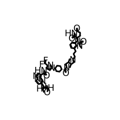 Cn1c(=O)n(C2CCC(=O)NC2=O)c2cccc(CCCN3CC4CN(C(=O)[C@H]5CC[C@H](n6cc(NC(=O)c7cnn8ccc(N9C[C@H]%10C[C@@H]9CO%10)nc78)c(C(F)F)n6)CC5)CC4C3)c21